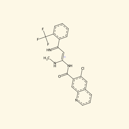 CN/C(=C\C(=N)c1ccccc1C(F)(F)F)NC(=O)c1cc2ncccc2cc1Cl